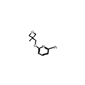 CC(C)c1cccc(OCC2(C)COC2)n1